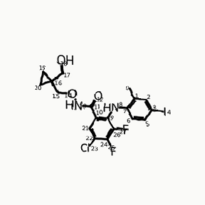 Cc1cc(I)ccc1Nc1c(C(=O)NOCC2(CO)CC2)cc(Cl)c(F)c1F